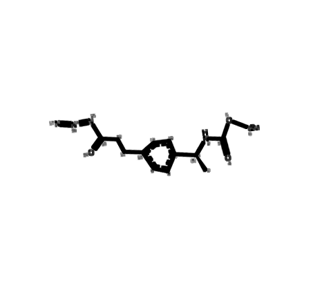 C[C@H](NC(=O)OC(C)(C)C)c1ccc(CCC(=O)N=[N+]=[N-])cc1